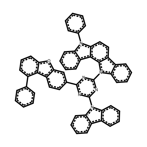 c1ccc(-c2cccc3oc4cc(-c5nc(-n6c7ccccc7c7ccccc76)nc(-n6c7ccccc7c7ccc8c(c9ccccc9n8-c8ccccc8)c76)n5)ccc4c23)cc1